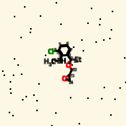 CBc1c(Cl)cccc1[C@@H](CC)OC[C@H]1CO1